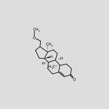 COCC1CC[C@H]2[C@@H]3CCC4=CC(=O)CC[C@]4(C)[C@@H]3CC[C@]12C